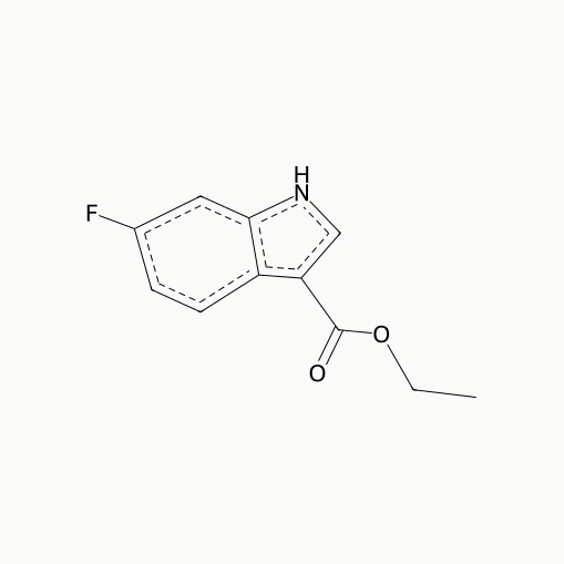 CCOC(=O)c1c[nH]c2cc(F)ccc12